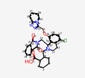 O=C(O)C1CCCCC1C(=O)N1CCc2c(Cl)ccc(OCc3nnc4ccccn34)c2C1CN1Cc2ccccc2C1=O